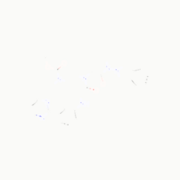 Cc1ccc(-c2ncccn2)cc1NCC(=O)N(CCN(C(=O)OC(C)(C)C)C(C)C)CC(=O)N(C)N1Cc2ccccc2C1